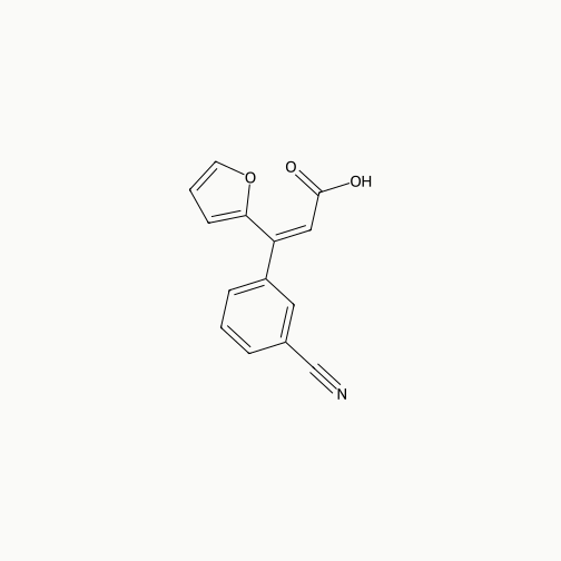 N#Cc1cccc(C(=CC(=O)O)c2ccco2)c1